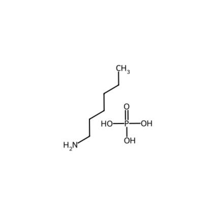 CCCCCCN.O=P(O)(O)O